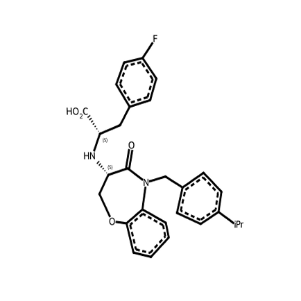 CC(C)c1ccc(CN2C(=O)[C@@H](N[C@@H](Cc3ccc(F)cc3)C(=O)O)COc3ccccc32)cc1